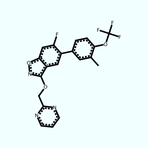 Cc1cc(-c2cc3c(OCc4ncccn4)noc3cc2F)ccc1OC(F)(F)F